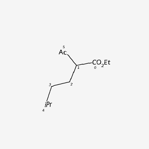 CCOC(=O)C(CCC(C)C)C(C)=O